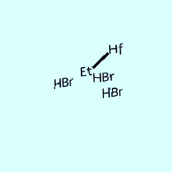 Br.Br.Br.C[CH2][Hf]